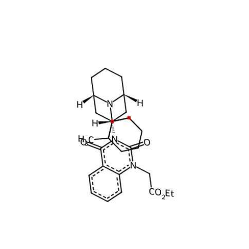 CCOC(=O)Cn1c(=O)n([C@H]2C[C@H]3CCC[C@@H](C2)N3[C@@H]2CC3CCC2(C)CC3)c(=O)c2ccccc21